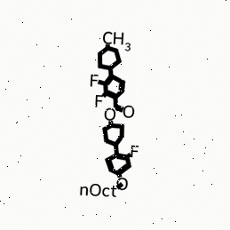 CCCCCCCCOc1ccc(C2CCC(OC(=O)c3ccc(C4CCC(C)CC4)c(F)c3F)CC2)c(F)c1